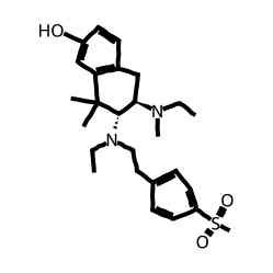 CCN(C)[C@@H]1Cc2ccc(O)cc2C(C)(C)[C@H]1N(CC)CCc1ccc(S(C)(=O)=O)cc1